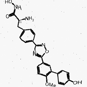 COc1ccc(-c2nc(-c3ccc(C[C@H](N)C(=O)NO)cc3)no2)cc1-c1ccc(O)cc1